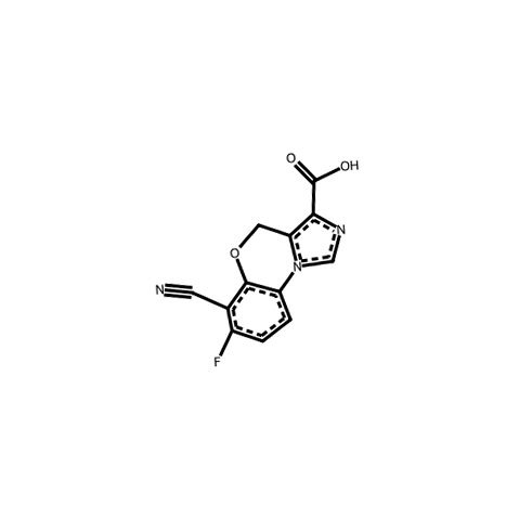 N#Cc1c(F)ccc2c1OCc1c(C(=O)O)ncn1-2